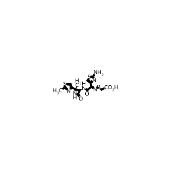 Cc1nc([C@@]2(C)NC(=O)[C@H]2NC(=O)/C(=N/OCC(=O)O)c2csc(N)n2)cs1